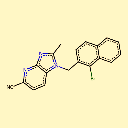 Cc1nc2nc(C#N)ccc2n1Cc1ccc2ccccc2c1Br